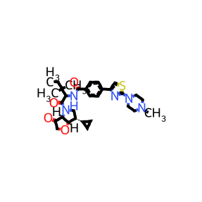 CCC(C)(C)C(NC(=O)c1ccc(-c2csc(N3CCN(C)CC3)n2)cc1)C(=O)N1C[C@H](C2CC2)[C@H]2OCC(=O)[C@H]21